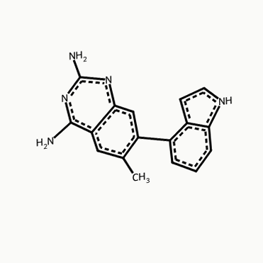 Cc1cc2c(N)nc(N)nc2cc1-c1cccc2[nH]ccc12